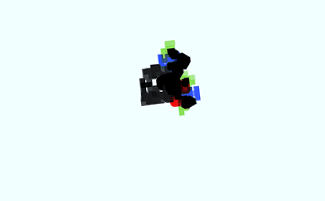 C=C/C(=C1/C=CC(C2(NCC(F)F)CCC2)=CN1CCCC)c1cc(OC)c(C(=O)NC2CC2F)c(OC(F)F)c1